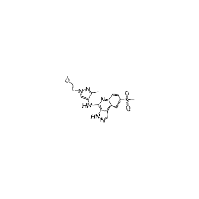 COCCn1cc(Nc2nc3ccc(S(C)(=O)=O)cc3c3cn[nH]c23)c(C)n1